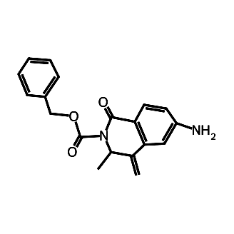 C=C1c2cc(N)ccc2C(=O)N(C(=O)OCc2ccccc2)C1C